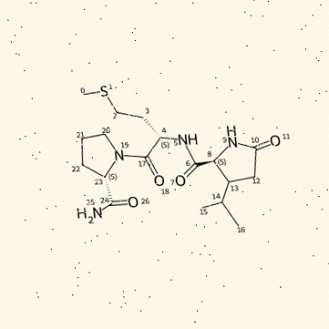 CSCC[C@H](NC(=O)[C@H]1NC(=O)CC1C(C)C)C(=O)N1CCC[C@H]1C(N)=O